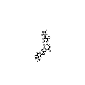 COc1cc(N2CCC(=O)N(CC(=O)Nc3ccc(Cl)c(C(F)(F)F)c3)CC2)ccc1-n1cnc(C)n1